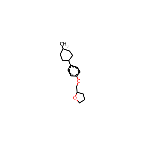 CC1CCC(c2ccc(OCC3CCCO3)cc2)CC1